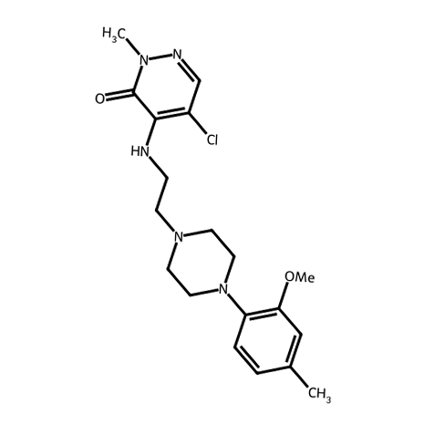 COc1cc(C)ccc1N1CCN(CCNc2c(Cl)cnn(C)c2=O)CC1